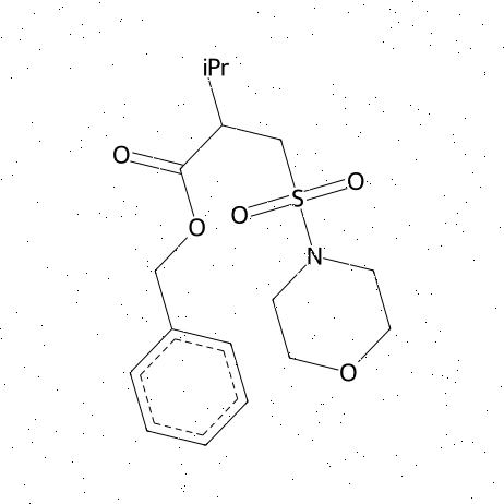 CC(C)C(CS(=O)(=O)N1CCOCC1)C(=O)OCc1ccccc1